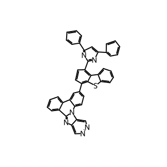 c1ccc(-c2cc(-c3ccccc3)nc(-c3ccc(-c4ccc5c(c4)c4ccccc4c4nc6cnncc6n54)c4sc5ccccc5c34)n2)cc1